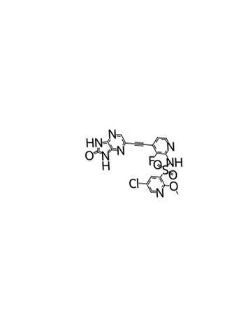 COc1ncc(Cl)cc1S(=O)(=O)Nc1nccc(C#Cc2cnc3[nH]c(=O)[nH]c3n2)c1F